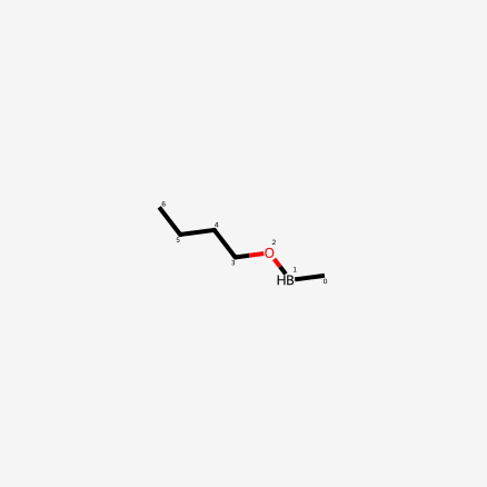 CBOCCCC